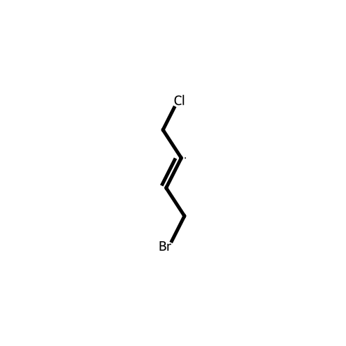 ClC/[C]=C/CBr